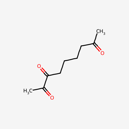 CC(=O)CCCCC(=O)C(C)=O